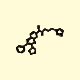 O=C(NCCCn1ccnc1)c1ccc2nc(-c3ccccc3)c(N3CCCC3)nc2c1